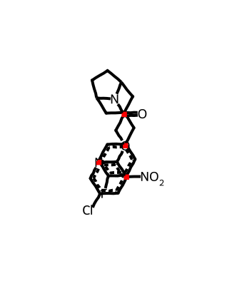 O=C(COc1ncc(Cl)cc1[N+](=O)[O-])N1C2CCC1CC(Cc1ccc(F)cc1)C2